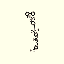 O=C(Nc1ccccc1-c1ccccc1)OC1CCN(CCNC(=O)c2ccc(CNCCCc3ccc(O)cc3)cc2)CC1